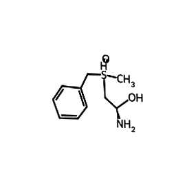 C[SH](=O)(Cc1ccccc1)C[C@H](N)O